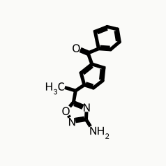 CC(c1cccc(C(=O)c2ccccc2)c1)c1nc(N)no1